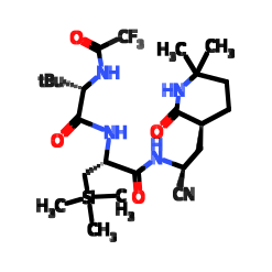 CC1(C)CC[C@@H](C[C@@H](C#N)NC(=O)[C@H](C[Si](C)(C)C)NC(=O)[C@@H](NC(=O)C(F)(F)F)C(C)(C)C)C(=O)N1